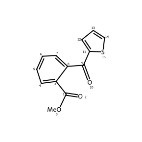 COC(=O)c1ccccc1C(=O)c1cccs1